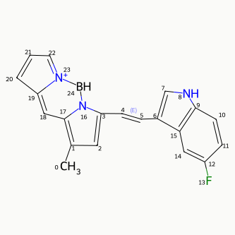 Cc1cc(/C=C/c2c[nH]c3ccc(F)cc23)n2c1C=C1C=CC=[N+]1B2